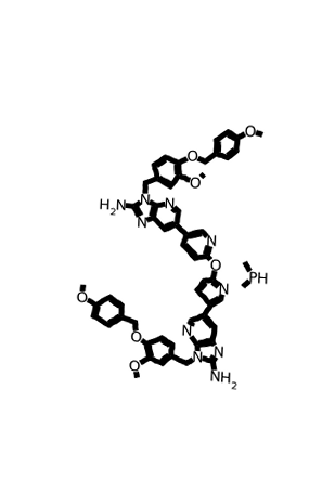 COc1ccc(COc2ccc(Cn3c(N)nc4cc(-c5ccc(Oc6ccc(-c7cnc8c(c7)nc(N)n8Cc7ccc(OCc8ccc(OC)cc8)c(OC)c7)cn6)nc5)cnc43)cc2OC)cc1.CPC